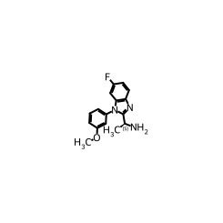 COc1cccc(-n2c([C@H](C)N)nc3ccc(F)cc32)c1